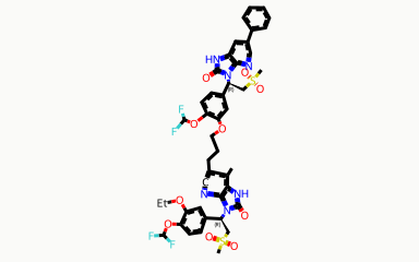 CCOc1cc([C@H](CS(C)(=O)=O)n2c(=O)[nH]c3c(C)c(CCCOc4cc([C@H](CS(C)(=O)=O)n5c(=O)[nH]c6cc(-c7ccccc7)cnc65)ccc4OC(F)F)cnc32)ccc1OC(F)F